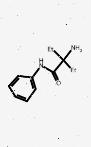 CCC(N)(CC)C(=O)Nc1cc[c]cc1